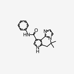 CC1(C)Cc2[nH]cc(C(=O)Nc3ccccc3)c2-c2nccn21